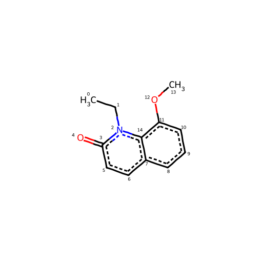 CCn1c(=O)ccc2cccc(OC)c21